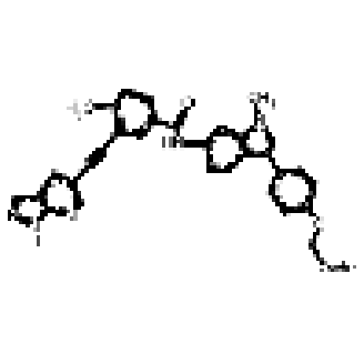 COCOc1ccc(-c2cn(C)c3cc(NC(=O)c4ccc(C)c(C#Cc5cnc6[nH]ncc6c5)c4)ccc23)cc1